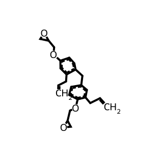 C=CCc1cc(OCC2CO2)ccc1Cc1ccc(OCC2CO2)c(CC=C)c1